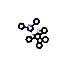 c1ccc(-c2cc(-n3c4ccccc4c4c5c(c6c7ccccc7oc6c43)C3(CCCCC3)c3ccccc3-5)cc(-c3ccccc3)n2)cc1